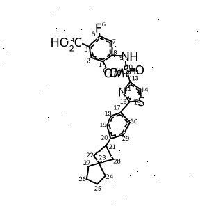 COc1cc(C(=O)O)c(F)cc1NS(=O)(=O)c1csc(-c2ccc(C3CC4(CCCC4)C3)cc2)n1